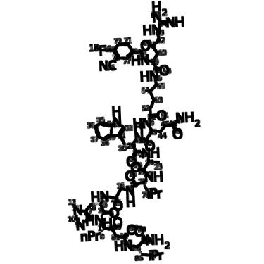 CCC[C@H](NC(=O)[C@H](Cc1cncn1C)NC(=O)CNC(=O)[C@@H](NC(=O)[C@H](C)NC(=O)[C@H](Cc1c[nH]c2ccccc12)NC(=O)[C@H](CCC(N)=O)NC(=O)CCCCNC(=O)[C@H](CCCNC(=N)N)NC(=O)c1ccc([18F])c(C#N)c1)C(C)C)[C@@H](O)CC(=O)N[C@@H](CC(C)C)C(N)=O